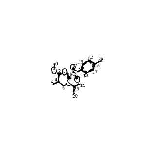 COC(=O)C(C)CS(=NS(=O)(=O)c1ccc(C)cc1)C(C)C